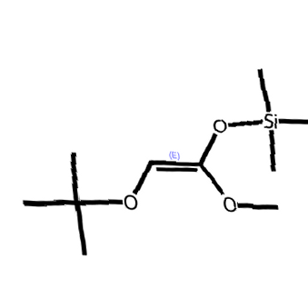 CO/C(=C\OC(C)(C)C)O[Si](C)(C)C